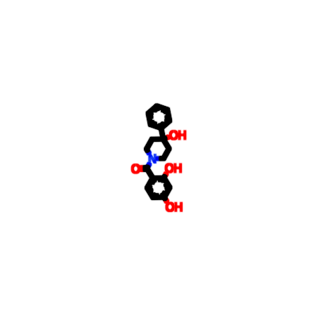 O=C(c1ccc(O)cc1O)N1CCC(O)(c2ccccc2)CC1